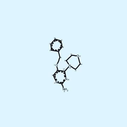 Nc1ncc(OCc2ccccc2)c(N2CCOCC2)n1